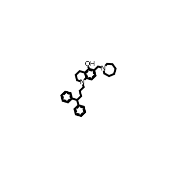 Oc1c(CN2CCCCCC2)ccc2c1CCCN2CCCC(c1ccccc1)c1ccccc1